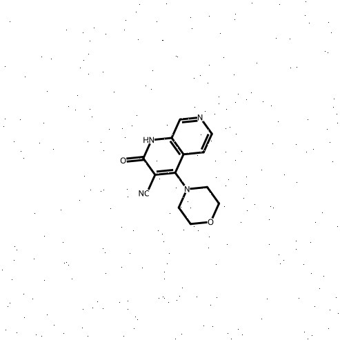 N#Cc1c(N2CCOCC2)c2ccncc2[nH]c1=O